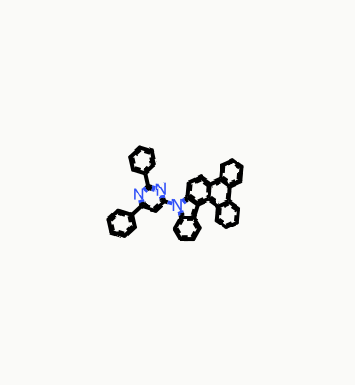 c1ccc(-c2cc(-n3c4ccccc4c4c5c6ccccc6c6ccccc6c5ccc43)nc(-c3ccccc3)n2)cc1